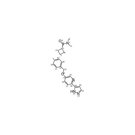 CN(C)C(=O)[C@H]1C[C@H](c2cccc(COc3ccc(-c4ccn[nH]4)nc3)c2)C1